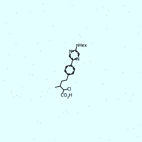 CCCCCCc1cnc(-c2ccc(CCC(C)C(Cl)C(=O)O)cc2)cn1